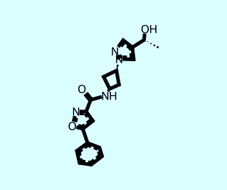 C[C@@H](O)c1cnn([C@H]2C[C@H](NC(=O)c3cc(-c4ccccc4)on3)C2)c1